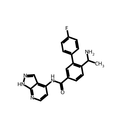 CC(N)c1ccc(C(=O)Nc2ccnc3[nH]ncc23)cc1-c1ccc(F)cc1